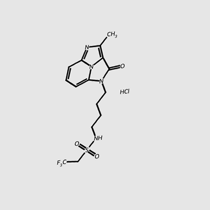 Cc1nc2cccc3n(CCCCNS(=O)(=O)CC(F)(F)F)c(=O)c1n23.Cl